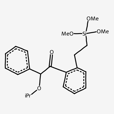 CO[Si](CCc1ccccc1C(=O)C(OC(C)C)c1ccccc1)(OC)OC